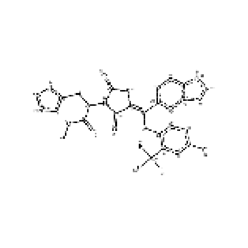 COC(=O)C(Cc1c[nH]cn1)N1C(=O)S/C(=C(/Cc2ccc(Cl)cc2C(F)(F)F)c2ccc3[nH]ncc3c2)C1=O